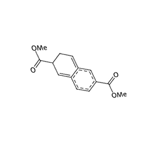 COC(=O)c1ccc2c(c1)=CCC(C(=O)OC)C=2